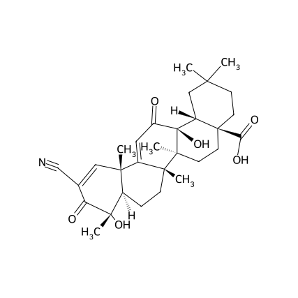 CC1(C)CC[C@]2(C(=O)O)CC[C@@]3(C)[C@]4(C)CC[C@H]5[C@](C)(O)C(=O)C(C#N)=C[C@]5(C)C4=CC(=O)[C@]3(O)[C@@H]2C1